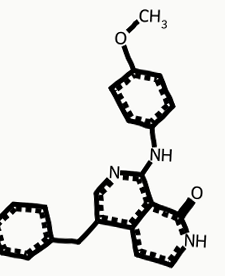 COc1ccc(Nc2ncc(Cc3ccccc3)c3cc[nH]c(=O)c23)cc1